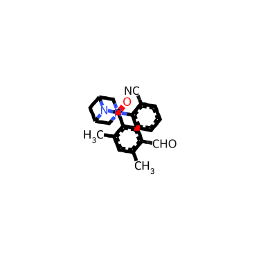 Cc1cc(C)c(C(=O)N2C3CC2CN(c2ccccc2C#N)C3)cc1C=O